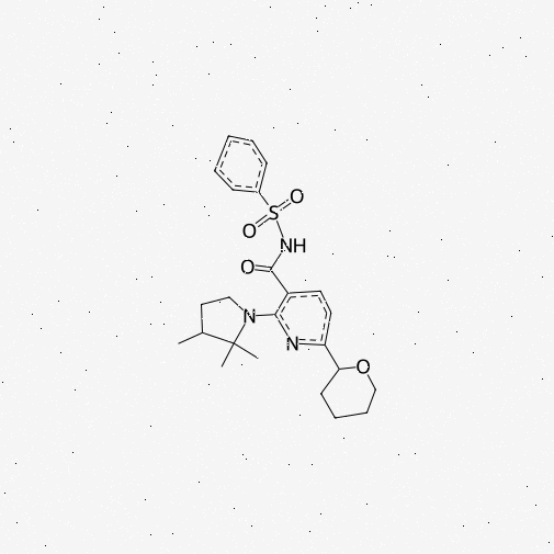 CC1CCN(c2nc(C3CCCCO3)ccc2C(=O)NS(=O)(=O)c2ccccc2)C1(C)C